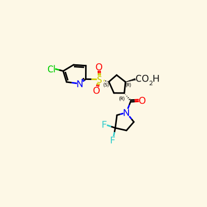 O=C(O)[C@@H]1C[C@@H](S(=O)(=O)c2ccc(Cl)cn2)C[C@H]1C(=O)N1CCC(F)(F)C1